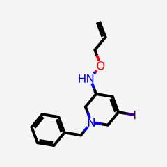 C=CCONC1C=C(I)CN(Cc2ccccc2)C1